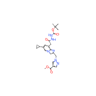 COC(=O)c1cnn(Cc2cn3cc(C4CC4)cc(CC(=O)NNC(=O)OC(C)(C)C)c3n2)c1